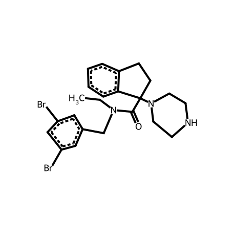 CCN(Cc1cc(Br)cc(Br)c1)C(=O)C1(N2CCNCC2)CCc2ccccc21